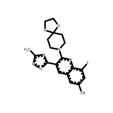 Cc1noc(-c2cc3cc(C#N)cc(F)c3nc2N2CCC3(CC2)OCCO3)n1